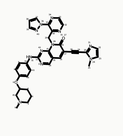 CN1CCCC(Oc2ccc(Nc3ncc4cc(C#Cc5nccn5C)c(=O)n(Cc5nccnc5-n5cccn5)c4n3)cc2)C1